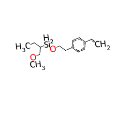 C=Cc1ccc(CCO[SiH2]C(CC)COC)cc1